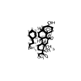 C[C@]12CC[C@@H](O)C[C@H]1CC[C@@H]1[C@@H]2C(=O)C[C@@]2(C)[C@H]1CC[C@]2(O)C(=O)CO.NCCc1ccccc1